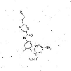 C#CCOc1cnc(C(=O)Nc2cc(F)c(F)c([C@@]3(C)N=C(N)S[C@@]4(CNC(C)=O)CC43)c2)cn1